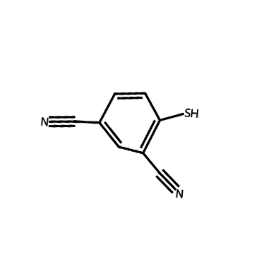 N#Cc1ccc(S)c(C#N)c1